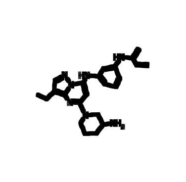 C=CC(=C)Nc1cccc(Nc2cc(N3CCCC(N)C3)nc3c(CC)cnn23)c1